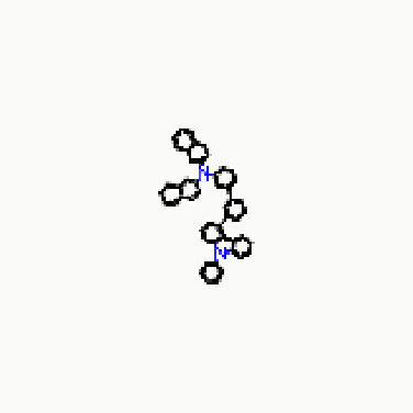 c1ccc(-n2c3ccccc3c3c(-c4cccc(-c5cccc(N(c6ccc7ccccc7c6)c6ccc7ccccc7c6)c5)c4)cccc32)cc1